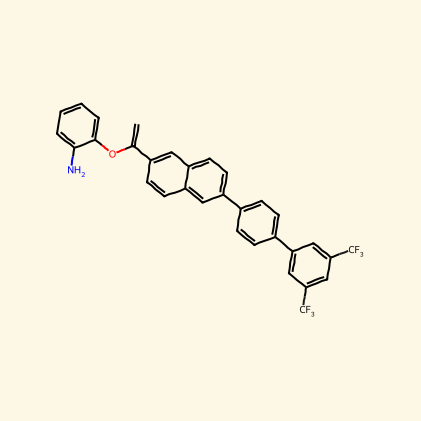 C=C(Oc1ccccc1N)c1ccc2cc(-c3ccc(-c4cc(C(F)(F)F)cc(C(F)(F)F)c4)cc3)ccc2c1